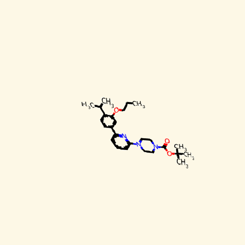 CCCOc1cc(-c2cccc(N3CCN(C(=O)OC(C)(C)C)CC3)n2)ccc1C(C)C